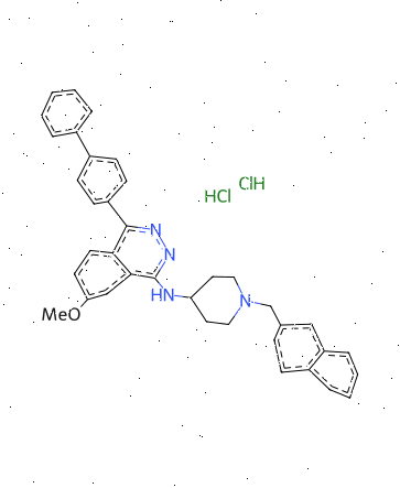 COc1ccc2c(-c3ccc(-c4ccccc4)cc3)nnc(NC3CCN(Cc4ccc5ccccc5c4)CC3)c2c1.Cl.Cl